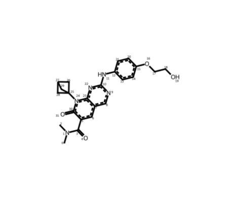 CN(C)C(=O)c1cc2cnc(Nc3ccc(OCCO)cc3)nc2n(C23CC(C2)C3)c1=O